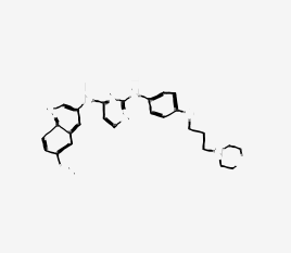 N#Cc1ccc2ncc(Nc3ccnc(Nc4ccc(OCCCN5CCOCC5)cc4)n3)cc2c1